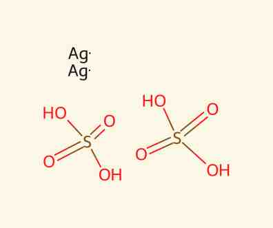 O=S(=O)(O)O.O=S(=O)(O)O.[Ag].[Ag]